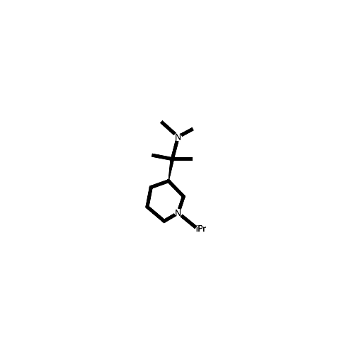 CC(C)N1CCC[C@@H](C(C)(C)N(C)C)C1